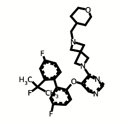 CC(C)(F)c1cc(F)ccc1-c1cc(F)ccc1Oc1cncnc1N1CC2(CN(CC3CCOCC3)C2)C1